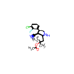 CC(=O)OC(C)(C)CC1NCC(c2cccc(Cl)c2F)C1C#N